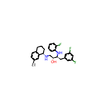 CCc1ccc2c(c1)[C@@H](NC[C@@H](O)[C@H](Cc1cc(F)cc(F)c1)Nc1ccccc1F)CCC2